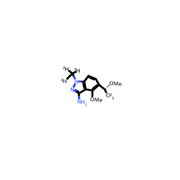 [2H]C([2H])([2H])n1nc(N)c2c(OC)c([C@H](OC)C(F)(F)F)ccc21